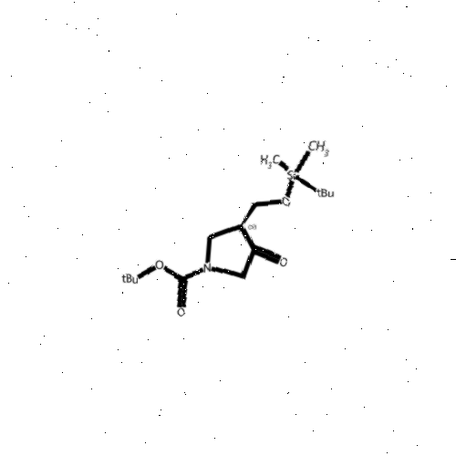 CC(C)(C)OC(=O)N1CC(=O)[C@H](CO[Si](C)(C)C(C)(C)C)C1